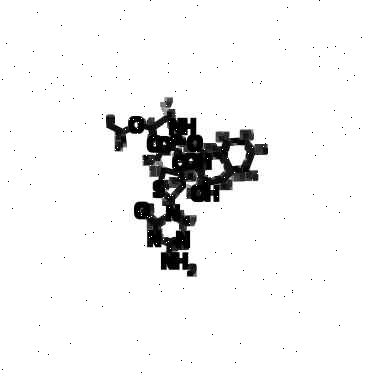 CC(C)OC(=O)[C@H](C)NP(=O)(OC[C@H]1S[C@@H](n2cnc(N)nc2=O)[C@@H](O)[C@H]1O)Oc1cccc2ccccc12